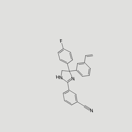 C=Cc1cccc(C2(c3ccc(F)cc3)CNC(c3cccc(C#N)c3)=N2)c1